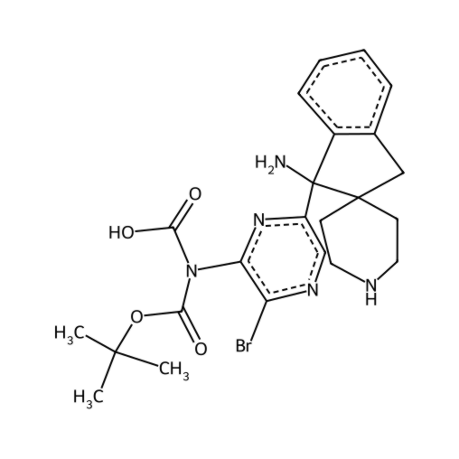 CC(C)(C)OC(=O)N(C(=O)O)c1nc(C2(N)c3ccccc3CC23CCNCC3)cnc1Br